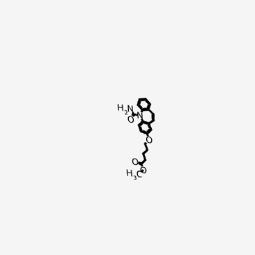 COC(=O)CCCCOc1ccc2c(c1)C=Cc1ccccc1N2C(N)=O